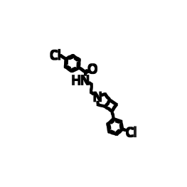 O=C(NCCN1CC2CC(c3cccc(Cl)c3)C2C1)c1ccc(Cl)cc1